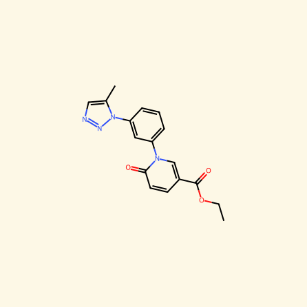 CCOC(=O)c1ccc(=O)n(-c2cccc(-n3nncc3C)c2)c1